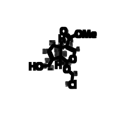 COC(=O)C1=CO[C@@H](OCCl)[C@@H]2C(CO)=CC[C@H]12